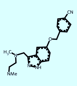 CNCCN(C)Cc1n[nH]c2ccc(OCc3ccc(C#N)cc3)cc12